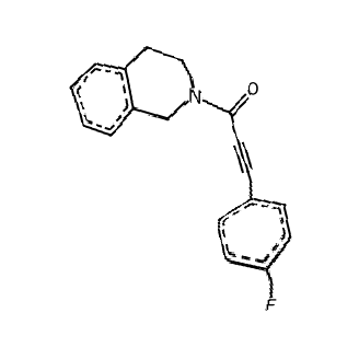 O=C(C#Cc1ccc(F)cc1)N1CCc2ccccc2C1